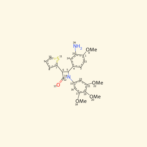 COc1ccc(C2C(c3cccs3)C(=O)N2c2cc(OC)c(OC)c(OC)c2)cc1N